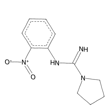 N=C(Nc1ccccc1[N+](=O)[O-])N1CCCC1